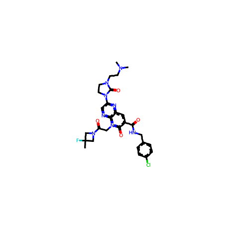 CN(C)CCN1CCN(c2cnc3c(cc(C(=O)NCc4ccc(Cl)cc4)c(=O)n3CC(=O)N3CC(C)(F)C3)n2)C1=O